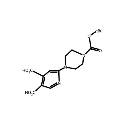 CC(C)(C)OC(=O)N1CCN(c2cc(C(=O)O)c(C(=O)O)cn2)CC1